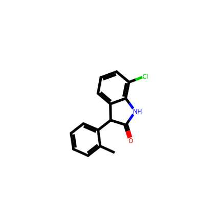 Cc1ccccc1C1C(=O)Nc2c(Cl)cccc21